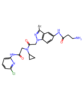 CC(=O)c1nn(CC(=O)N(CC(=O)Nc2cccc(Cl)n2)C2CC2)c2ccc(NC(=O)CCN)cc12